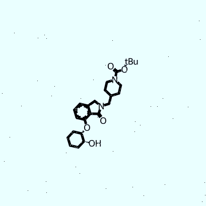 CC(C)(C)OC(=O)N1CCC(CN2Cc3cccc(O[C@@H]4CCCC[C@H]4O)c3C2=O)CC1